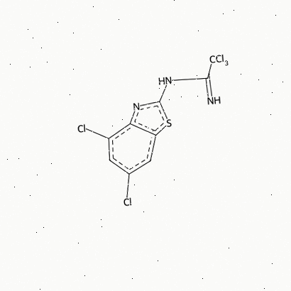 N=C(Nc1nc2c(Cl)cc(Cl)cc2s1)C(Cl)(Cl)Cl